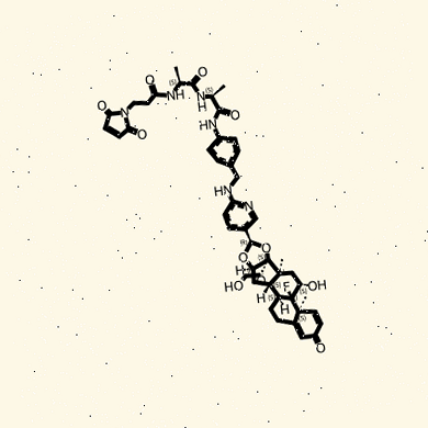 C[C@H](NC(=O)CCN1C(=O)C=CC1=O)C(=O)N[C@@H](C)C(=O)Nc1ccc(CNc2ccc([C@@H]3O[C@@H]4C[C@H]5[C@@H]6CCC7=CC(=O)C=C[C@]7(C)[C@@]6(F)[C@@H](O)C[C@]5(C)[C@]4(C(=O)CO)O3)cn2)cc1